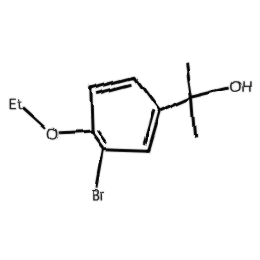 CCOc1ccc(C(C)(C)O)cc1Br